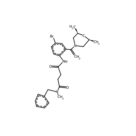 C=C(c1cc(Br)ccc1NC(=O)CCC(=O)N(C)Cc1ccccc1)N1C[C@H](C)C[C@H](C)C1